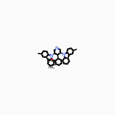 Cc1ccc2c(c1)c1ccccc1n2-c1cncc(-n2c3ccccc3c3cc(C)ccc32)c1-c1cccc(C#N)c1C#N